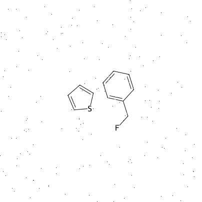 FCc1ccccc1.c1ccsc1